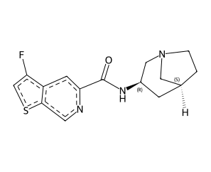 O=C(N[C@@H]1C[C@@H]2CCN(C2)C1)c1cc2c(F)csc2cn1